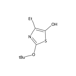 CCc1nc(OC(C)(C)C)sc1O